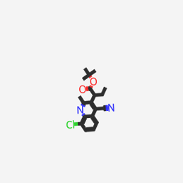 CCC(C(=O)OC(C)(C)C)c1c(C)nc2c(Cl)cccc2c1C#N